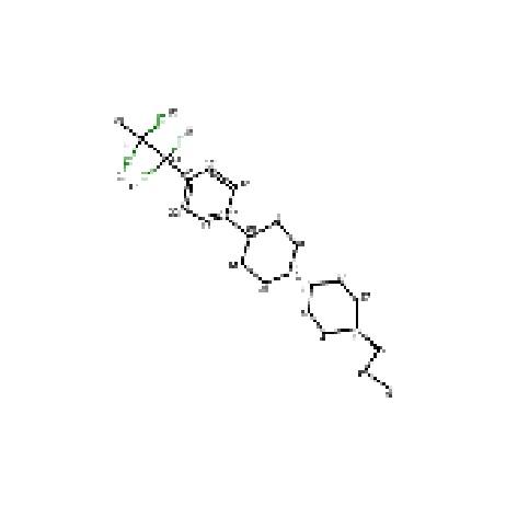 CCC[C@H]1CC[C@H](C2CCC(c3ccc(C(F)(F)C(C)(F)F)cc3)CC2)CC1